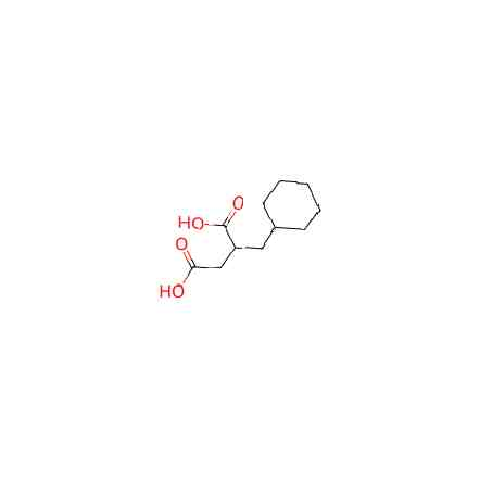 O=C(O)CC(CC1CCCCC1)C(=O)O